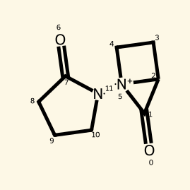 O=C1C2CC[N+]12.O=C1CCC[N]1